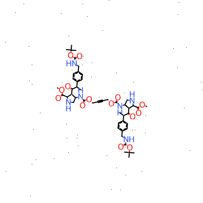 COC(=O)C1NCC(NC(=O)OCC#CCOC(=O)NC2CNC(C(=O)OC)C2C(=O)C(C)c2ccc(CNC(=O)OC(C)(C)C)cc2)C1C(=O)C(C)c1ccc(CNC(=O)OC(C)(C)C)cc1